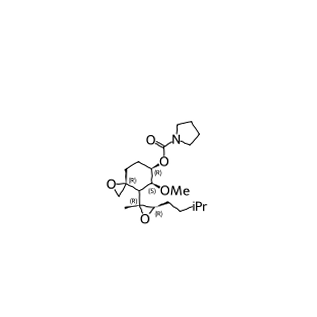 CO[C@H]1C([C@@]2(C)O[C@@H]2CCC(C)C)[C@]2(CC[C@H]1OC(=O)N1CCCC1)CO2